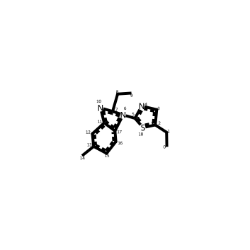 CCc1cnc(-n2c(CC)nc3cc(C)ccc32)s1